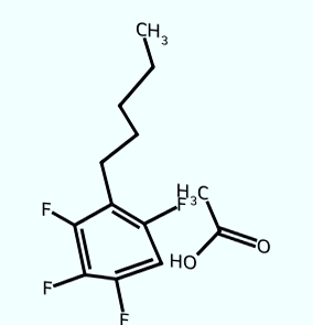 CC(=O)O.CCCCCc1c(F)cc(F)c(F)c1F